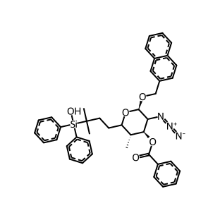 C[C@@H]1C(CCC(C)(C)[Si](O)(c2ccccc2)c2ccccc2)O[C@@H](OCc2ccc3ccccc3c2)C(N=[N+]=[N-])[C@H]1OC(=O)c1ccccc1